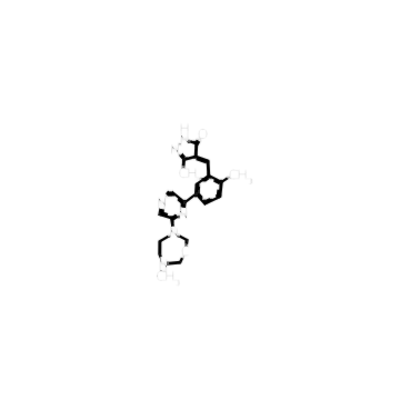 CC1=NNC(=O)/C1=C/c1cc(-c2cncc(N3CCCN(C)CC3)n2)ccc1C